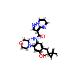 CC1(C)C[C@]1(C)Cc1cc(NC(=O)c2cnn3cccnc23)c(N2CCOCC2)cc1O